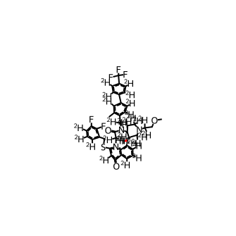 [2H]c1c([2H])c(F)c(F)c(CSc2c([2H])c(=O)c3c([2H])c([2H])c([2H])c([2H])c3n2C([2H])([2H])C(=O)N(C([2H])([2H])c2c([2H])c([2H])c(-c3c([2H])c([2H])c(C(F)(F)F)c([2H])c3[2H])c([2H])c2C)C2([2H])C([2H])([2H])C([2H])([2H])N(C([2H])([2H])COC)C([2H])([2H])C2([2H])[2H])c1[2H]